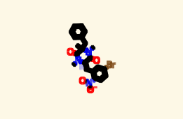 CN1C(=O)C(C)(Cc2ccccc2)N(C)C(=O)/C1=C\c1cc(Br)ccc1[N+](=O)[O-]